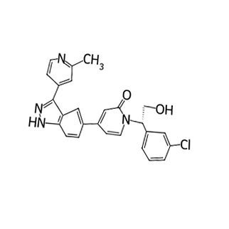 Cc1cc(-c2n[nH]c3ccc(-c4ccn([C@H](CO)c5cccc(Cl)c5)c(=O)c4)cc23)ccn1